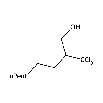 CCCCCCCC(CO)C(Cl)(Cl)Cl